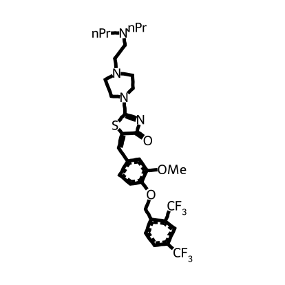 CCCN(CCC)CCN1CCN(C2=NC(=O)/C(=C\c3ccc(OCc4ccc(C(F)(F)F)cc4C(F)(F)F)c(OC)c3)S2)CC1